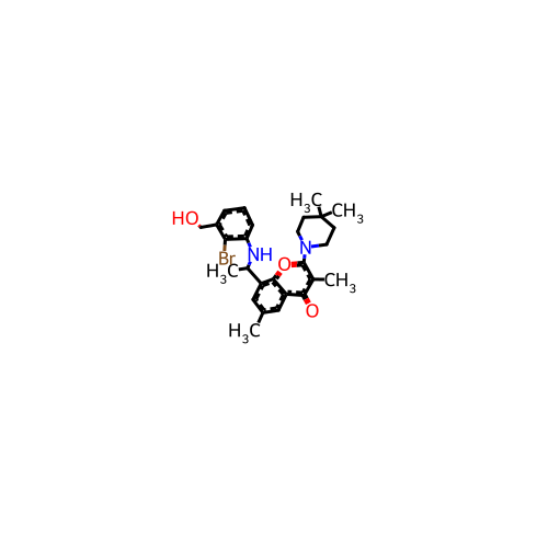 Cc1cc(C(C)Nc2cccc(CO)c2Br)c2oc(N3CCC(C)(C)CC3)c(C)c(=O)c2c1